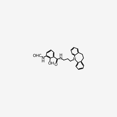 O=CNc1cccc(C(=O)NCCCN2c3ccccc3CCc3ccccc32)c1O